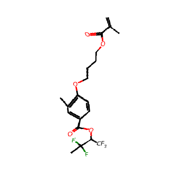 C=C(C)C(=O)OCCCCOc1ccc(C(=O)OC(C(C)(F)F)C(F)(F)F)cc1C